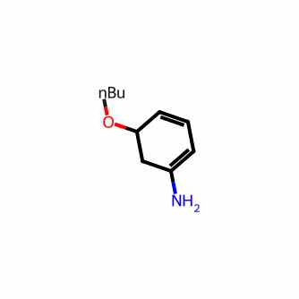 CCCCOC1C=CC=C(N)C1